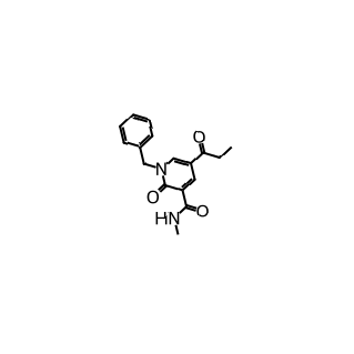 CCC(=O)c1cc(C(=O)NC)c(=O)n(Cc2ccccc2)c1